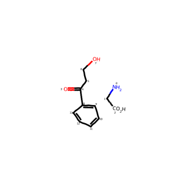 NCC(=O)O.O=C(CCO)c1ccccc1